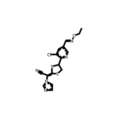 CCO/N=C/c1cnc(C2CS/C(=C(/C#N)n3ccnc3)S2)c(Cl)c1